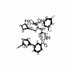 Cc1nc(-c2cccc(S(=O)(=O)N[C@@H](Cc3ccccc3)C(=O)N[C@@H](CC3CCC3)B(O)O)c2)cs1